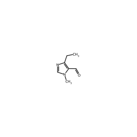 CCc1ncn(C)c1C=O